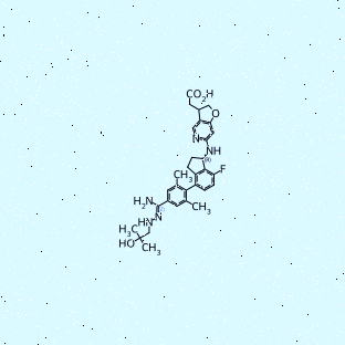 Cc1cc(/C(N)=N/NCC(C)(C)O)cc(C)c1-c1ccc(F)c2c1CC[C@H]2Nc1cc2c(cn1)C(CC(=O)O)CO2